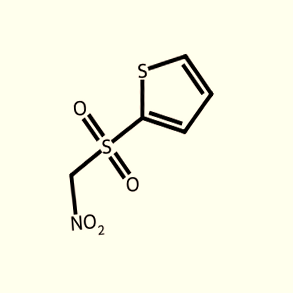 O=[N+]([O-])CS(=O)(=O)c1cccs1